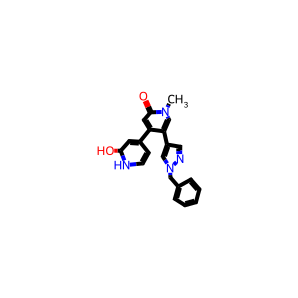 Cn1cc(-c2cnn(Cc3ccccc3)c2)c(C2=CC(O)NC=C2)cc1=O